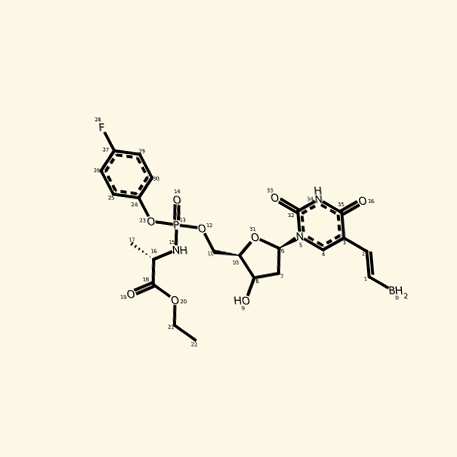 B/C=C/c1cn([C@H]2CC(O)[C@@H](COP(=O)(N[C@@H](C)C(=O)OCC)Oc3ccc(F)cc3)O2)c(=O)[nH]c1=O